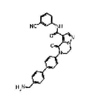 N#Cc1cccc(NC(=O)c2cnn3c2C(=O)N(c2ccc(-c4ccc(CN)cc4)cc2)CC3)c1